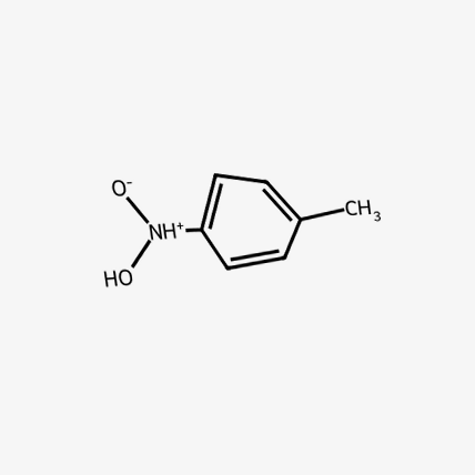 Cc1ccc([NH+]([O-])O)cc1